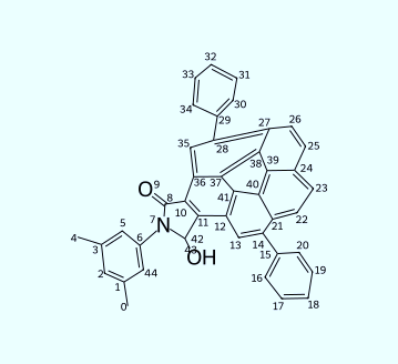 Cc1cc(C)cc(N2C(=O)c3c(c4cc(-c5ccccc5)c5ccc6ccc7c(-c8ccccc8)cc3c3c7c6c5c43)C2O)c1